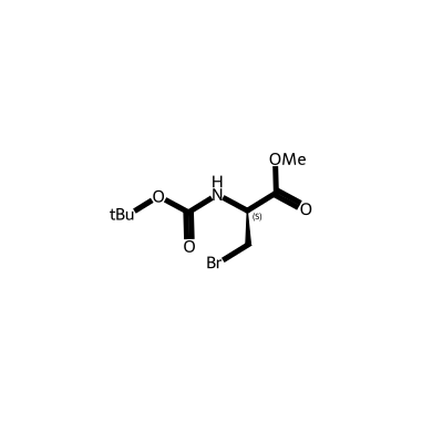 COC(=O)[C@@H](CBr)NC(=O)OC(C)(C)C